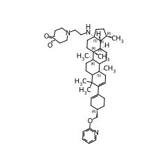 C[C@@H]1CC[C@]2(NCCN3CCS(=O)(=O)CC3)CC[C@]3(C)[C@H](CCC4[C@@]5(C)CC=C(C6=CC[C@H](COc7ccccn7)CC6)C(C)(C)C5CC[C@]43C)[C@@H]12